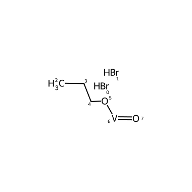 Br.Br.CCC[O][V]=[O]